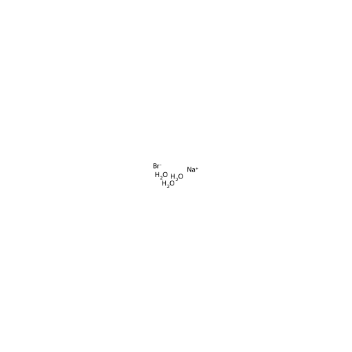 O.O.O.[Br-].[Na+]